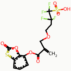 C=C(COCCC(F)(F)C(F)(F)S(=O)(=O)O)C(=O)Oc1cccc2sc(=O)oc12